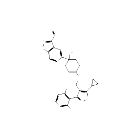 O=Cc1nsc2ccc(C3(O)CCC(OCc4c(-c5c(Cl)cccc5Cl)noc4C4CC4)CC3)cc12